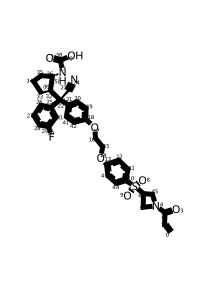 C=CC(=O)N1CC(S(=O)(=O)c2ccc(OCCOc3ccc([C@](C#N)(c4cccc(F)c4)[C@H]4CCC[C@@H]4NC(=O)O)cc3)cc2)C1